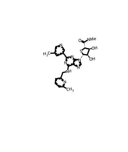 CNC(=O)[C@H]1S[C@@H](n2cnc3c(NCc4cccc(C)n4)nc(-c4cncc(C)c4)nc32)[C@H](O)[C@@H]1O